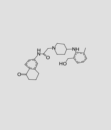 Cc1cccc(CO)c1NC1CCN(CC(=O)Nc2ccc3c(c2)CCCC3=O)CC1